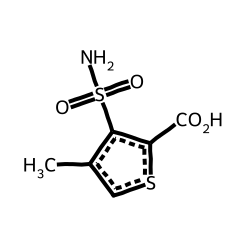 Cc1csc(C(=O)O)c1S(N)(=O)=O